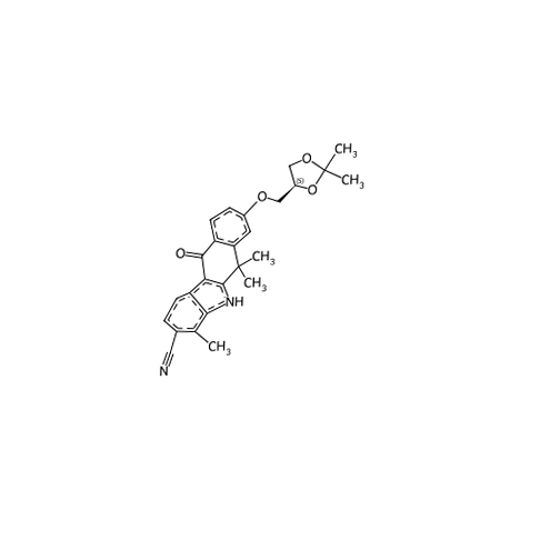 Cc1c(C#N)ccc2c3c([nH]c12)C(C)(C)c1cc(OC[C@H]2COC(C)(C)O2)ccc1C3=O